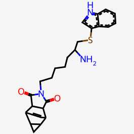 NC(CCCCCN1C(=O)C2C3C=CC(C4CC34)C2C1=O)CSc1c[nH]c2ccccc12